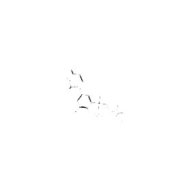 COc1c(I)cc(-n2ccc(=O)[nH]c2=O)cc1C(C)(C)CO[Si](C)(C)C(C)(C)C